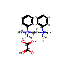 CCC[N+](CCC)(CCC)c1ccccc1.CCC[N+](CCC)(CCC)c1ccccc1.O=C([O-])C(=O)[O-]